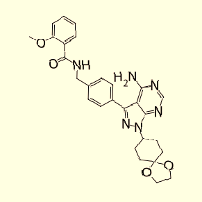 COc1ccccc1C(=O)NCc1ccc(-c2nn(C3CCC4(CC3)OCCO4)c3ncnc(N)c23)cc1